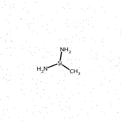 C[Si](N)N